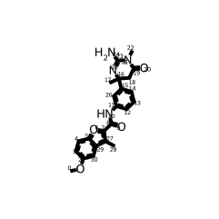 COc1ccc2oc(C(=O)Nc3cccc(C4(C)CC(=O)N(C)C(N)=N4)c3)c(C)c2c1